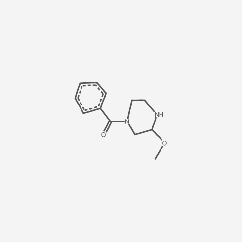 COC1CN(C(=O)c2ccccc2)CCN1